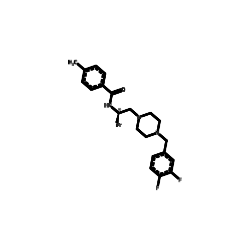 Cc1ccc(C(=O)N[C@@H](CN2CCN(Cc3ccc(F)c(F)c3)CC2)C(C)C)cc1